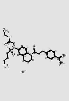 CCCCS(=O)(=O)N(CC(=O)OCC)c1ccc2c(c1)CCCN2C(=O)CCc1ccc(C(=N)N)cc1.I